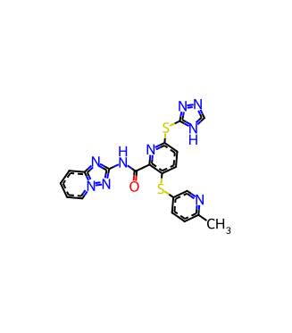 Cc1ccc(Sc2ccc(Sc3nnc[nH]3)nc2C(=O)Nc2nc3ccccn3n2)cn1